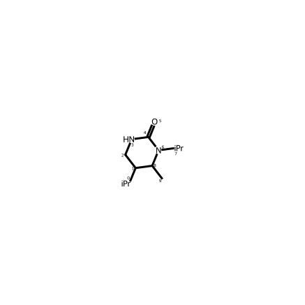 CC(C)C1CNC(=O)N(C(C)C)C1C